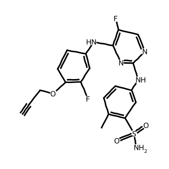 C#CCOc1ccc(Nc2nc(Nc3ccc(C)c(S(N)(=O)=O)c3)ncc2F)cc1F